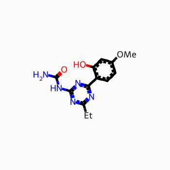 CCc1nc(NC(N)=O)nc(-c2ccc(OC)cc2O)n1